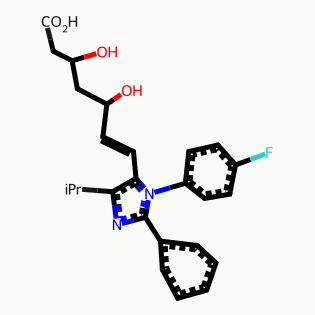 CC(C)c1nc(-c2ccccc2)n(-c2ccc(F)cc2)c1/C=C/C(O)CC(O)CC(=O)O